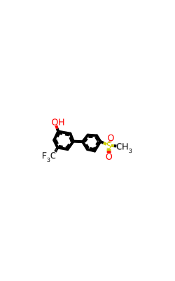 CS(=O)(=O)c1ccc(-c2cc(O)cc(C(F)(F)F)c2)cc1